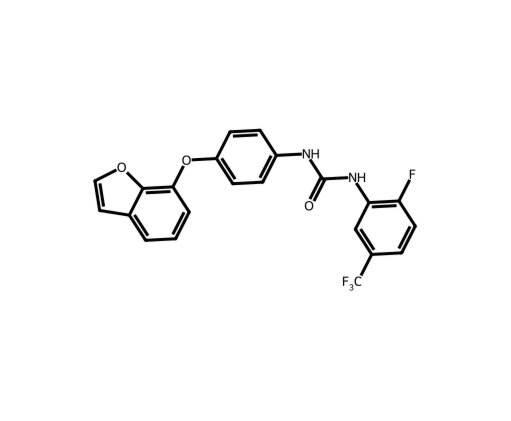 O=C(Nc1ccc(Oc2cccc3ccoc23)cc1)Nc1cc(C(F)(F)F)ccc1F